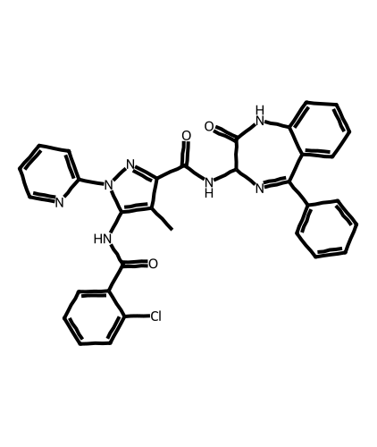 Cc1c(C(=O)NC2N=C(c3ccccc3)c3ccccc3NC2=O)nn(-c2ccccn2)c1NC(=O)c1ccccc1Cl